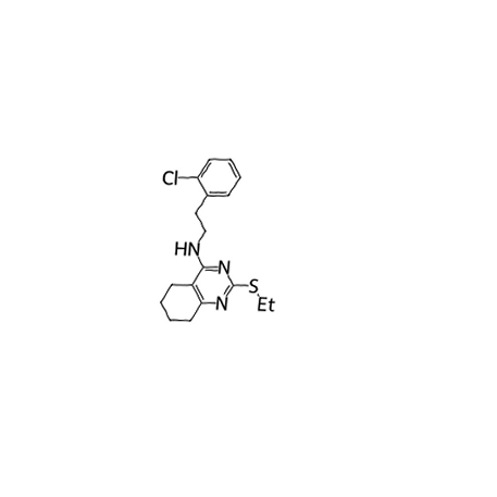 CCSc1nc2c(c(NCCc3ccccc3Cl)n1)CCCC2